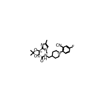 [C-]#[N+]c1cc(F)ccc1N1CCC(CNC(=O)[C@@H]2OC(C)(C)O[C@H]2c2nc(C)cn2C)CC1